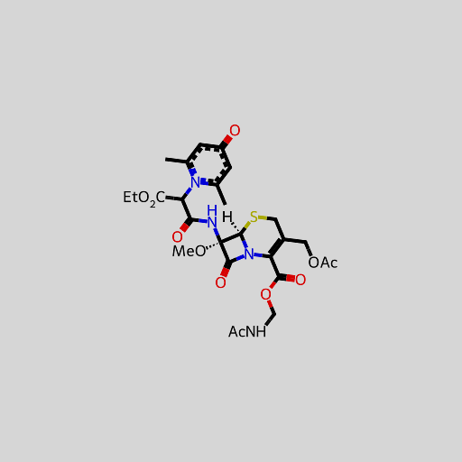 CCOC(=O)C(C(=O)N[C@]1(OC)C(=O)N2C(C(=O)OCNC(C)=O)=C(COC(C)=O)CS[C@@H]21)n1c(C)cc(=O)cc1C